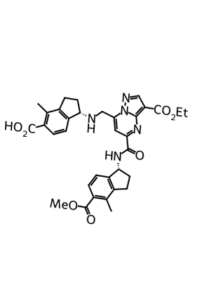 CCOC(=O)c1cnn2c(CN[C@H]3CCc4c3ccc(C(=O)O)c4C)cc(C(=O)N[C@@H]3CCc4c3ccc(C(=O)OC)c4C)nc12